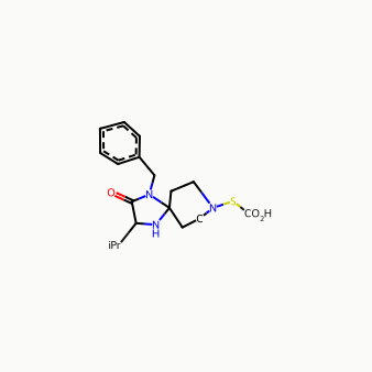 CC(C)C1NC2(CCN(SC(=O)O)CC2)N(Cc2ccccc2)C1=O